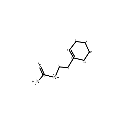 NC(=S)NCCC1=CCCCC1